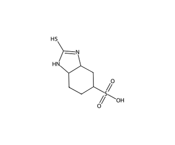 O=S(=O)(O)C1CCC2NC(S)=NC2C1